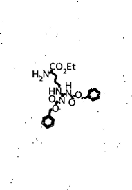 CCOC(=O)C(N)CCCN/C(=N\C(=O)OCc1ccccc1)NC(=O)OCc1ccccc1